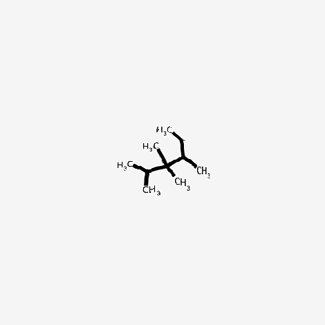 C[CH]C(C)C(C)(C)[C](C)C